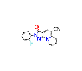 N#Cc1cc2c(=O)n(-c3ccccc3F)nc-2n2ccccc12